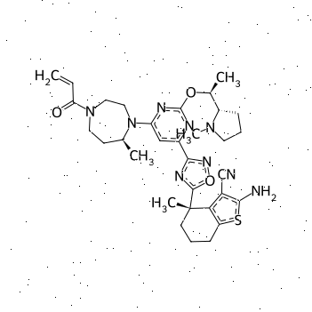 C=CC(=O)N1CC[C@H](C)N(c2cc(-c3noc([C@@]4(C)CCCc5sc(N)c(C#N)c54)n3)nc(O[C@@H](C)[C@@H]3CCCN3C)n2)CC1